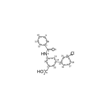 O=C(O)c1cc(NC(=O)c2ccccc2)cc(-c2cccc(Cl)c2)c1